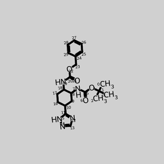 CC(C)(C)OC(=O)NC1CC(c2ncn[nH]2)CCC1NC(=O)OCc1ccccc1